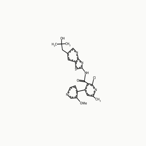 COc1cnccc1-c1cc(C)nc(Cl)c1C(=O)Nc1nc2ncc(CC(C)(C)O)cc2s1